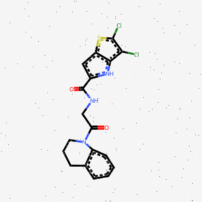 O=C(NCC(=O)N1CCCc2ccccc21)c1cc2sc(Cl)c(Cl)c2[nH]1